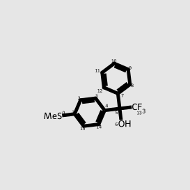 CSc1ccc(C(O)(c2ccccc2)C(F)(F)F)cc1